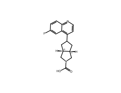 O=C(O)N1C[C@H]2CC(c3ccnc4ccc(F)cc34)C[C@H]2C1